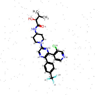 CC(C)[C@H](O)C(=O)NC1CCN(c2cnc(-c3ccc(C(F)(F)F)cc3)c(-c3ccncc3Cl)n2)CC1